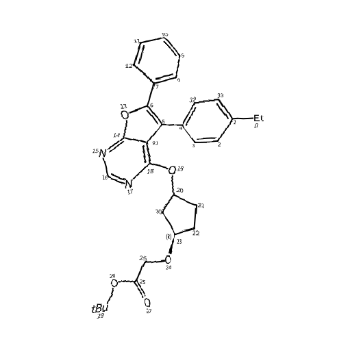 CCc1ccc(-c2c(-c3ccccc3)oc3ncnc(OC4CC[C@@H](OCC(=O)OC(C)(C)C)C4)c23)cc1